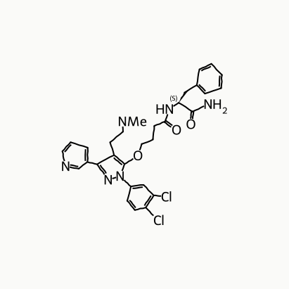 CNCCc1c(-c2cccnc2)nn(-c2ccc(Cl)c(Cl)c2)c1OCCCC(=O)N[C@@H](Cc1ccccc1)C(N)=O